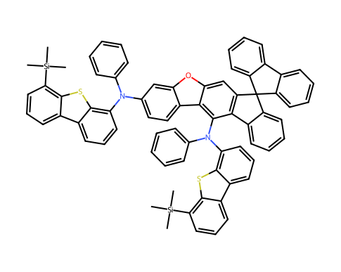 C[Si](C)(C)c1cccc2c1sc1c(N(c3ccccc3)c3ccc4c(c3)oc3cc5c(c(N(c6ccccc6)c6cccc7c6sc6c([Si](C)(C)C)cccc67)c34)-c3ccccc3C53c4ccccc4-c4ccccc43)cccc12